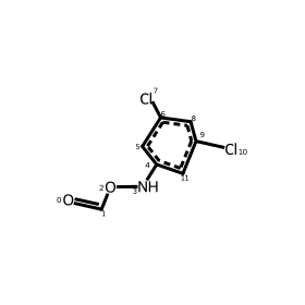 O=CONc1cc(Cl)cc(Cl)c1